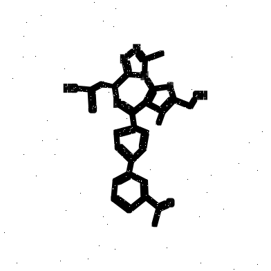 CC(=O)c1cccc(-c2ccc(C3=N[C@@H](CC(=O)O)c4nnc(C)n4-c4sc(CO)c(C)c43)cc2)c1